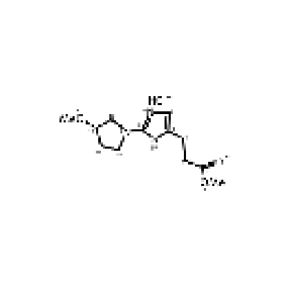 COC(=O)CCc1cnc(N2CC[C@@H](OC)C2)s1.Cl